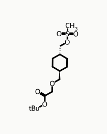 CC(C)(C)OC(=O)COC[C@H]1CC[C@H](COS(C)(=O)=O)CC1